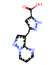 O=C(O)c1cc(-c2cnn3cccnc23)n[nH]1